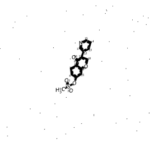 CS(=O)(=O)Oc1ccc2c(=O)c(-c3cccnc3)coc2c1